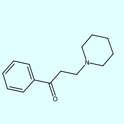 O=C(CCN1CC[CH]CC1)c1ccccc1